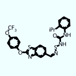 CC(C)c1ccccc1NC(=O)NS/N=C\c1ccc2sc(Oc3ccc(OC(F)(F)F)cc3)nc2c1